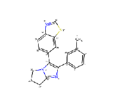 Cc1cccc(-c2nc3n(c2-c2ccc4ncsc4c2)CCC3)c1